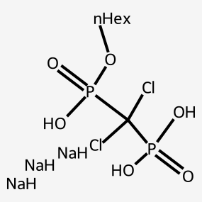 CCCCCCOP(=O)(O)C(Cl)(Cl)P(=O)(O)O.[NaH].[NaH].[NaH]